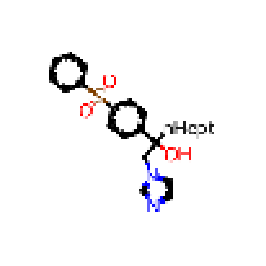 CCCCCCCC(O)(Cn1ccnc1)c1ccc(S(=O)(=O)c2ccccc2)cc1